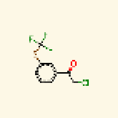 O=C(CCl)c1cccc(SC(F)(F)F)c1